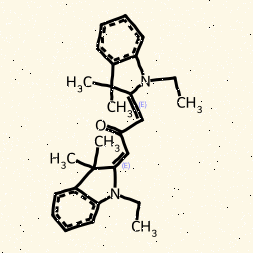 CCN1/C(=C/C(=O)/C=C2/N(CC)c3ccccc3C2(C)C)C(C)(C)c2ccccc21